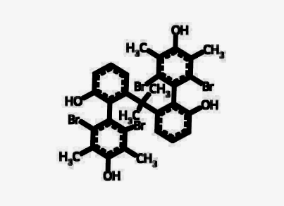 Cc1c(O)c(C)c(Br)c(-c2c(O)cccc2C(C)(C)c2cccc(O)c2-c2c(Br)c(C)c(O)c(C)c2Br)c1Br